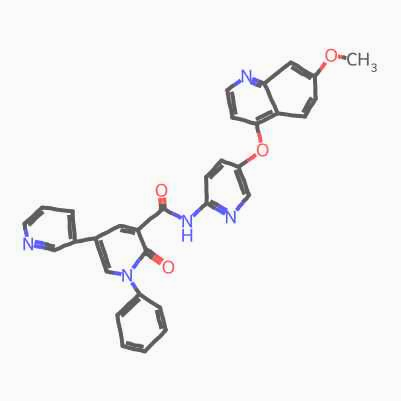 COc1ccc2c(Oc3ccc(NC(=O)c4cc(-c5cccnc5)cn(-c5ccccc5)c4=O)nc3)ccnc2c1